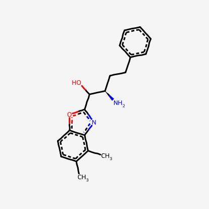 Cc1ccc2oc(C(O)[C@H](N)CCc3ccccc3)nc2c1C